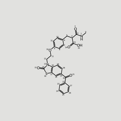 CNC(=O)C(Cc1ccc(OCCn2c(=O)sc3cc(C(=O)c4ccccc4)ccc32)cc1)C(=O)O